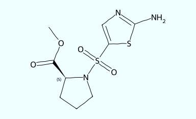 COC(=O)[C@@H]1CCCN1S(=O)(=O)c1cnc(N)s1